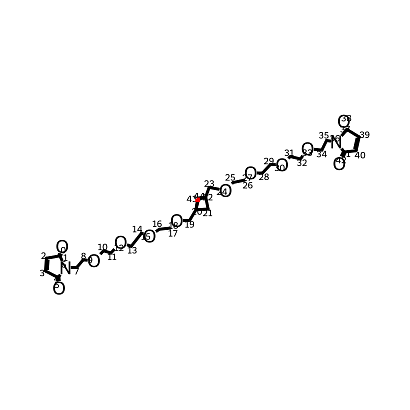 O=C1C=CC(=O)N1CCOCCOCCOCCOCC12CC(COCCOCCOCCOCCN3C(=O)C=CC3=O)(C1)C2